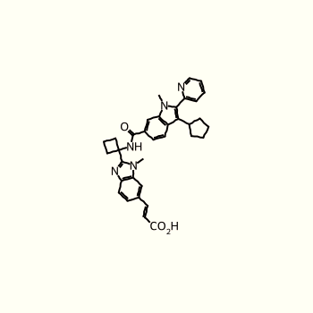 Cn1c(C2(NC(=O)c3ccc4c(C5CCCC5)c(-c5ccccn5)n(C)c4c3)CCC2)nc2ccc(/C=C/C(=O)O)cc21